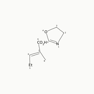 C1=NCCO1.CCC=C(C)C(=O)O